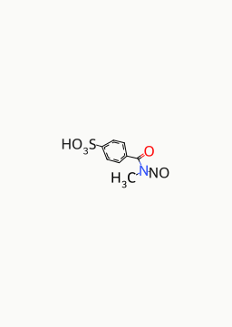 CN(N=O)C(=O)c1ccc(S(=O)(=O)O)cc1